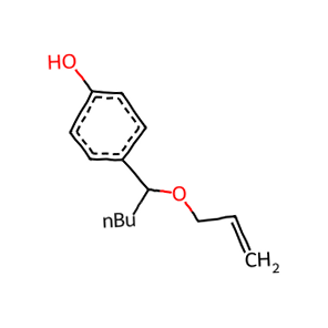 C=CCOC(CCCC)c1ccc(O)cc1